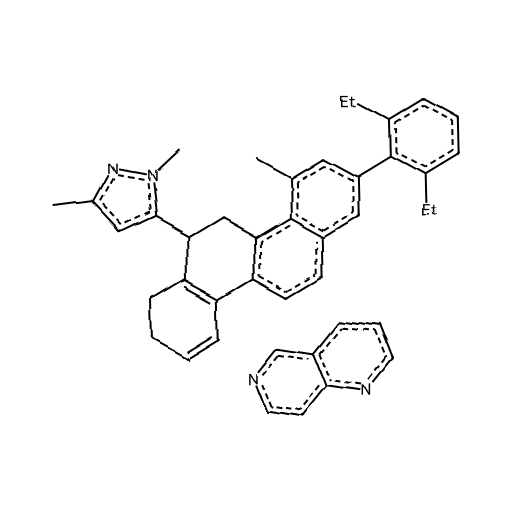 CCc1cccc(CC)c1-c1cc(C)c2c3c(ccc2c1)C1=C(CCC=C1)C(c1cc(C)nn1C)C3.c1cnc2ccncc2c1